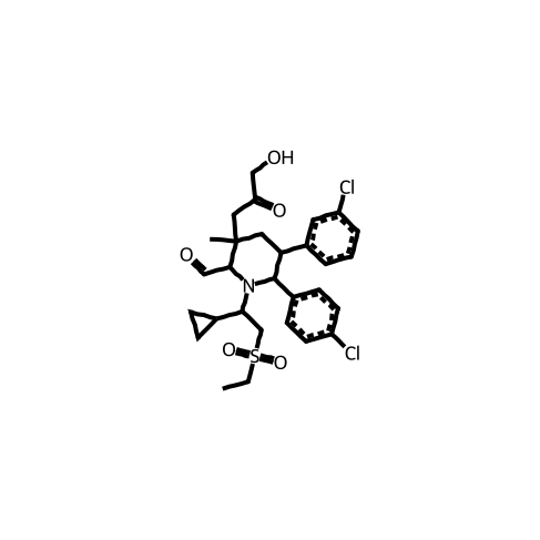 CCS(=O)(=O)CC(C1CC1)N1C(c2ccc(Cl)cc2)C(c2cccc(Cl)c2)CC(C)(CC(=O)CO)C1C=O